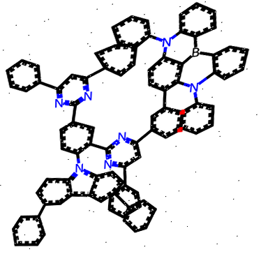 c1ccc(-c2ccc3c(c2)c2cc(-c4ccccc4)ccc2n3-c2ccc(-c3nc(-c4ccccc4)cc(-c4ccccc4)n3)cc2-c2nc(-c3ccccc3)cc(-c3cccc(-c4ccc5c6c4N(c4ccccc4)c4ccccc4B6c4ccccc4N5c4ccccc4)c3)n2)cc1